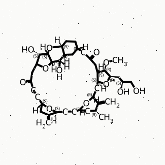 C=C1C[C@@H]2CCC(=O)CC3O[C@H]4[C@@H](O)[C@H]5C[C@H](CC[C@@H]5O[C@H]4[C@H]3O)CC(=O)C[C@@H]3[C@@H](OC)[C@@H](C[C@H](O)CO)O[C@H]3C[C@H]3O[C@@H](CC[C@@H]1O2)C[C@@H](C)C3=C